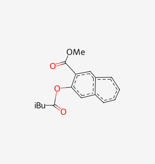 CCC(C)C(=O)Oc1cc2ccccc2cc1C(=O)OC